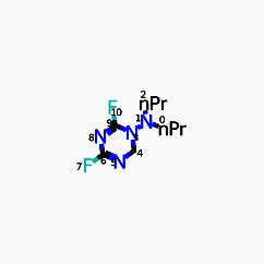 CCCN(CCC)N1CN=C(F)N=C1F